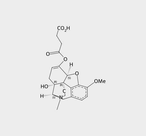 COc1ccc2c3c1O[C@@H]1C(OC(=O)CCC(=O)O)=CC[C@]4(O)[C@H](C2)N(C)CC[C@@]314